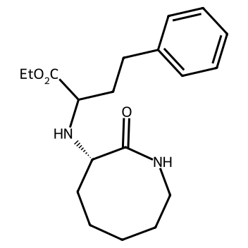 CCOC(=O)C(CCc1ccccc1)N[C@H]1CCCCCNC1=O